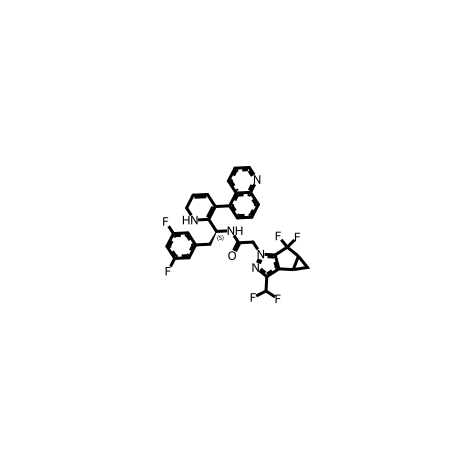 O=C(Cn1nc(C(F)F)c2c1C(F)(F)C1CC21)N[C@@H](Cc1cc(F)cc(F)c1)C1=C(c2cccc3ncccc23)C=CCN1